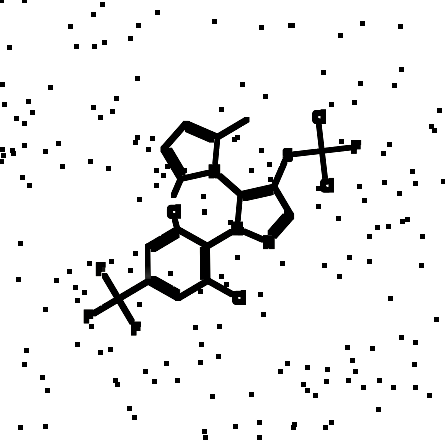 Cc1ccc(C)n1-c1c(SC(F)(Cl)Cl)cnn1-c1c(Cl)cc(C(F)(F)F)cc1Cl